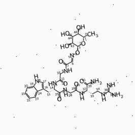 CC1O[C@@H](O/N=C/C(=O)NCC(=O)N[C@@H](Cc2c[nH]c3ccccc23)C(=O)NCC(=O)N[C@@H](CCNC(=N)N)C(N)=O)[C@@H](O)C(O)[C@H]1O